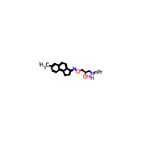 CCCNCC(O)CON=C1CCc2c1ccc1cc(C)ccc21